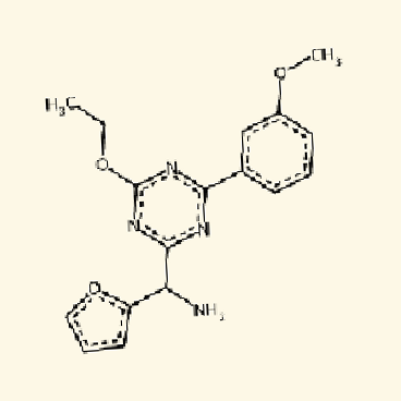 CCOc1nc(-c2cccc(OC)c2)nc(C(N)c2ccco2)n1